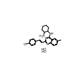 Cc1ccc2nc(C=Cc3ccc(Cl)cc3)nc(NC3CCCCC3N)c2c1.Cl.Cl